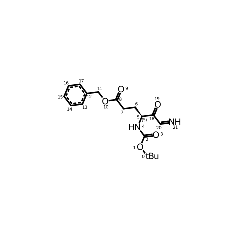 CC(C)(C)OC(=O)N[C@@H](CCC(=O)OCc1ccccc1)C(=O)C=N